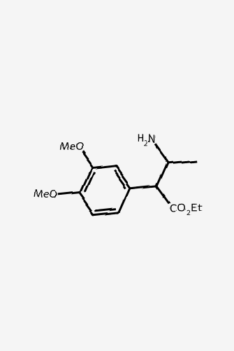 CCOC(=O)C(c1ccc(OC)c(OC)c1)C(C)N